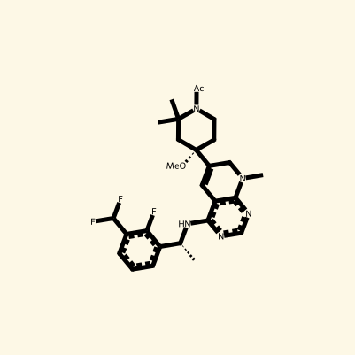 CO[C@@]1(C2=Cc3c(N[C@H](C)c4cccc(C(F)F)c4F)ncnc3N(C)C2)CCN(C(C)=O)C(C)(C)C1